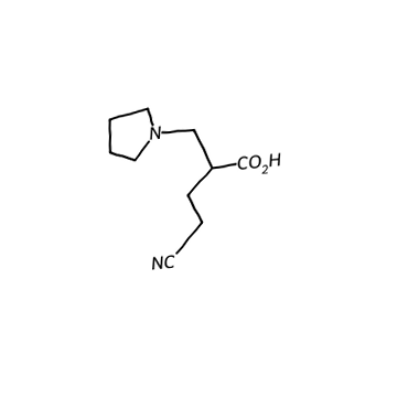 N#CCCC(CN1CCCC1)C(=O)O